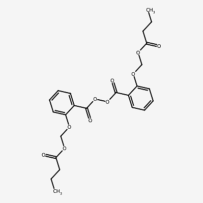 CCCC(=O)OCOc1ccccc1C(=O)OOC(=O)c1ccccc1OCOC(=O)CCC